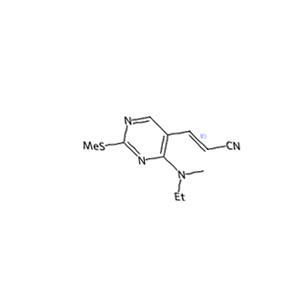 CCN(C)c1nc(SC)ncc1/C=C/C#N